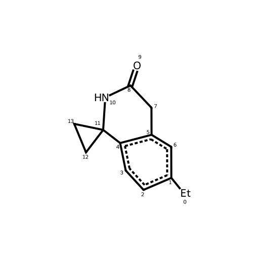 CCc1ccc2c(c1)CC(=O)NC21CC1